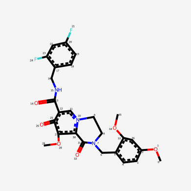 COc1ccc(CN2CCn3cc(C(=O)NCc4ccc(F)cc4F)c(=O)c(OC)c3C2=O)c(OC)c1